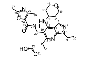 CCc1nc2c(cnn2CC)c(NC2CCOCC2)c1CNC(=O)c1oc(C)nc1C.O=CO